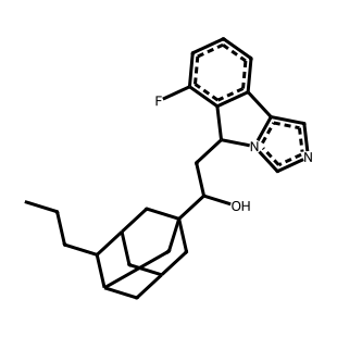 CCCC1C2CC3CC1CC(C(O)CC1c4c(F)cccc4-c4cncn41)(C3)C2